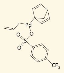 C=C[CH2][Pd]([O]S(=O)(=O)c1ccc(C(F)(F)F)cc1)[C]12C=CC(C=C1)C2